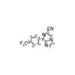 N#Cc1cn2ccnc2c(-c2ccc(C(F)(F)F)cc2)n1